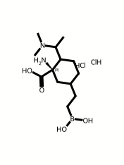 CC(C1CCC(CCB(O)O)C[C@]1(N)C(=O)O)N(C)C.Cl.Cl